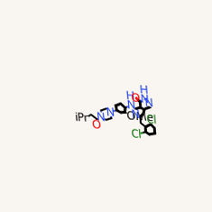 COc1cc(N2CCN(C(=O)CC(C)C)CC2)ccc1Nc1nc(Cc2c(Cl)cccc2Cl)cc2cn[nH]c(=O)c12